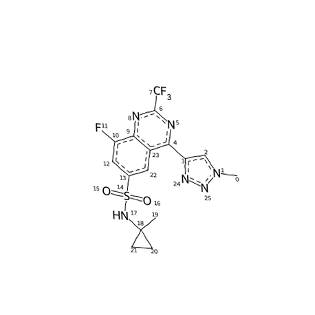 Cn1cc(-c2nc(C(F)(F)F)nc3c(F)cc(S(=O)(=O)NC4(C)CC4)cc23)nn1